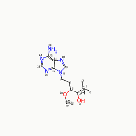 C[SiH](C)C(O)C(CCn1cnc2c(N)ncnc21)OC(C)(C)C